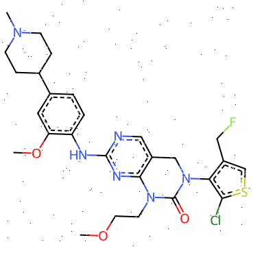 COCCN1C(=O)N(c2c(CF)csc2Cl)Cc2cnc(Nc3ccc(C4CCN(C)CC4)cc3OC)nc21